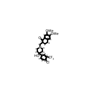 COc1cc2c(cc1OC)C(=O)C(CN1CCC(O)(c3ccc(Cl)c(C(F)(F)F)c3)CC1)CC2